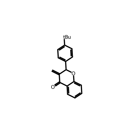 C=C1C(=O)c2ccccc2OC1c1ccc(C(C)(C)C)cc1